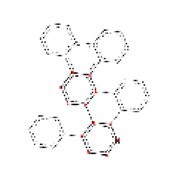 c1ccc(-c2ccnc(-c3ccccc3-c3c(-c4ccccc4)ccc4c5ccccc5c5ccccc5c34)c2-c2ccccc2)cc1